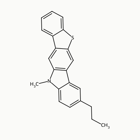 CCCc1ccc2c(c1)c1cc3sc4ccccc4c3cc1n2C